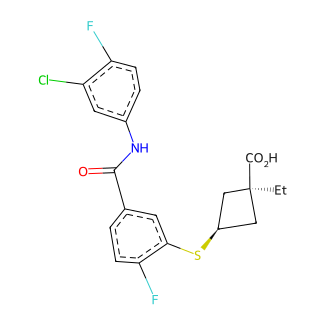 CC[C@]1(C(=O)O)C[C@@H](Sc2cc(C(=O)Nc3ccc(F)c(Cl)c3)ccc2F)C1